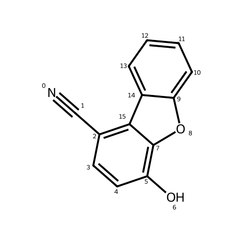 N#Cc1ccc(O)c2oc3ccccc3c12